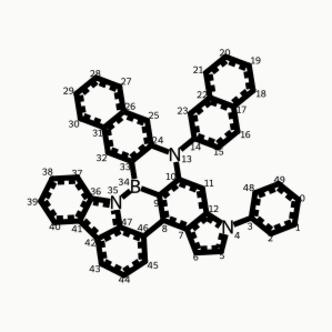 c1ccc(-n2ccc3c4c5c(cc32)N(c2ccc3ccccc3c2)c2cc3ccccc3cc2B5n2c3ccccc3c3cccc-4c32)cc1